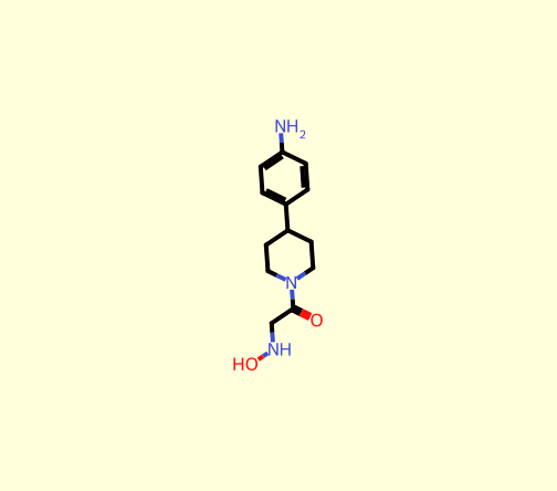 Nc1ccc(C2CCN(C(=O)CNO)CC2)cc1